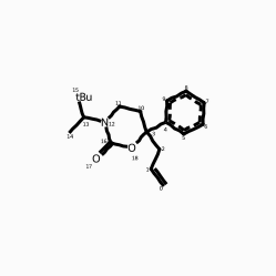 C=CCC1(c2ccccc2)CCN(C(C)C(C)(C)C)C(=O)O1